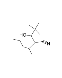 CCCC(C)C(C#N)C(O)C(C)(C)C